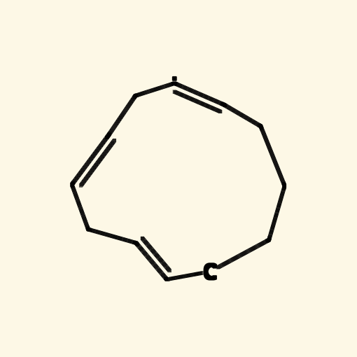 [C]1=C\CCCC/C=C/C/C=C/C/1